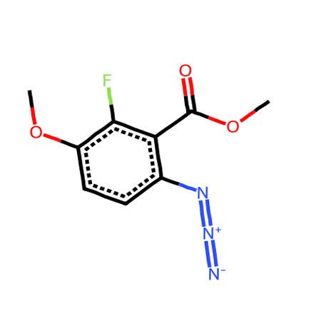 COC(=O)c1c(N=[N+]=[N-])ccc(OC)c1F